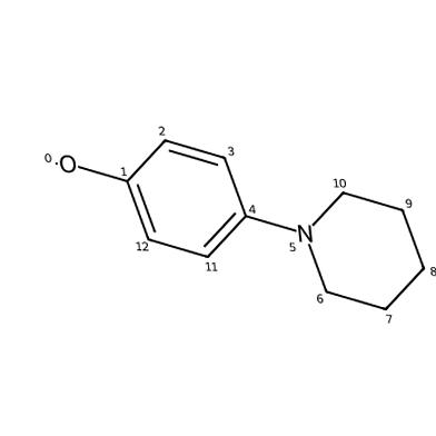 [O]c1ccc(N2CCCCC2)cc1